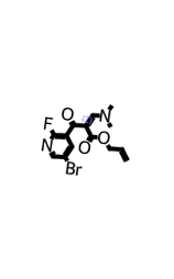 C=CCOC(=O)/C(=C\N(C)C)C(=O)c1cc(Br)cnc1F